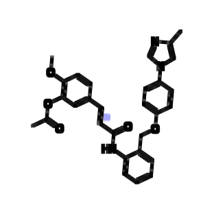 COc1ccc(/C=C/C(=O)Nc2ccccc2COc2ccc(-n3cnc(C)c3)cc2)cc1OC(C)=O